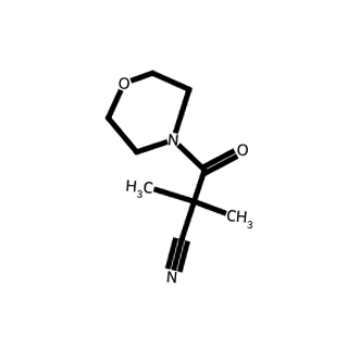 CC(C)(C#N)C(=O)N1CCOCC1